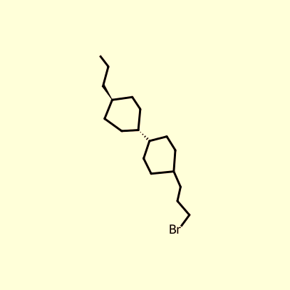 CCC[C@H]1CC[C@H](C2CCC(CCCBr)CC2)CC1